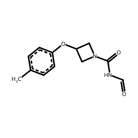 Cc1ccc(OC2CN(C(=O)NC=O)C2)cc1